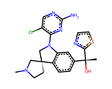 CN1CC[C@]2(C1)CN(c1nc(N)ncc1Cl)c1cc([C@@](C)(O)c3nccs3)ccc12